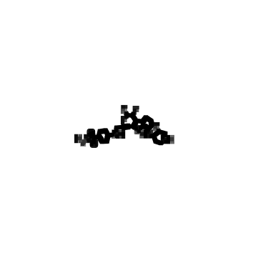 NS(=O)(=O)c1ccc(NCC#Cc2sc3c(NC4CCNCC4F)cccc3c2C(F)C(F)F)cc1